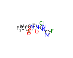 CCN(C(=O)C(CS(=O)(=O)CCC(F)(F)F)=NOC)c1cn(-c2cncc(F)c2)nc1Cl